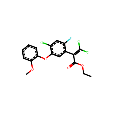 CCOC(=O)C(=C(Cl)Cl)c1cc(Oc2ccccc2OC)c(Cl)cc1F